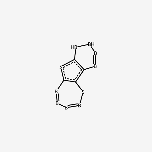 B1=BSc2c(sc3c2B=BBB3)B=B1